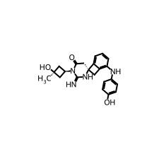 C[C@]1(O)C[C@@H](N2C(=N)N[C@]3(CC2=O)Cc2c(Nc4ccc(O)cc4)cccc23)C1